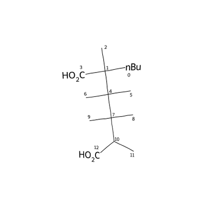 CCCCC(C)(C(=O)O)C(C)(C)C(C)(C)C(C)C(=O)O